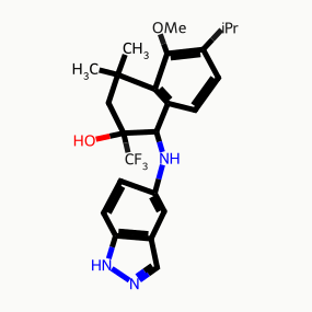 COc1c(C(C)C)ccc2c1C(C)(C)CC(O)(C(F)(F)F)C2Nc1ccc2[nH]ncc2c1